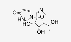 C/N=C\[C@@]1(N2C=CC(=O)NC2)O[C@H]([C@@H](C)O)[C@@H](O)[C@@H]1O